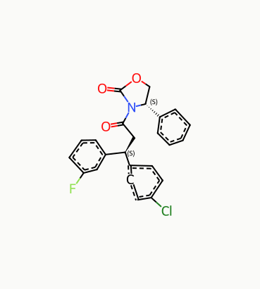 O=C(C[C@@H](c1ccc(Cl)cc1)c1cccc(F)c1)N1C(=O)OC[C@@H]1c1ccccc1